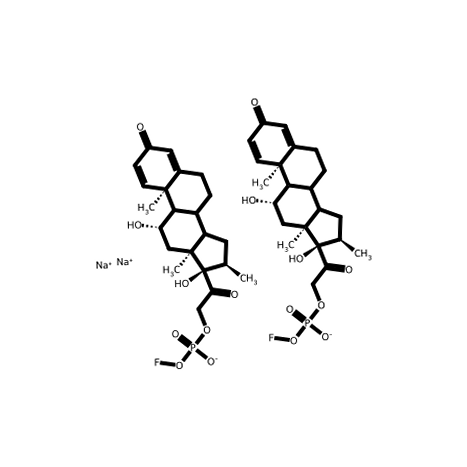 C[C@@H]1CC2C3CCC4=CC(=O)C=C[C@]4(C)C3[C@@H](O)C[C@]2(C)[C@@]1(O)C(=O)COP(=O)([O-])OF.C[C@@H]1CC2C3CCC4=CC(=O)C=C[C@]4(C)C3[C@@H](O)C[C@]2(C)[C@@]1(O)C(=O)COP(=O)([O-])OF.[Na+].[Na+]